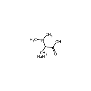 CC(C(=O)O)N(C)C.[NaH]